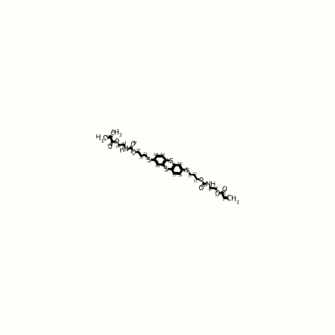 C=CC(=O)OCCNC(=O)OCCCSc1ccc2c(c1)Sc1ccc(SCCCOC(=O)NCCOC(=O)C(=C)C)cc1S2